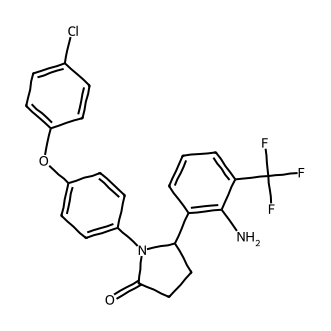 Nc1c(C2CCC(=O)N2c2ccc(Oc3ccc(Cl)cc3)cc2)cccc1C(F)(F)F